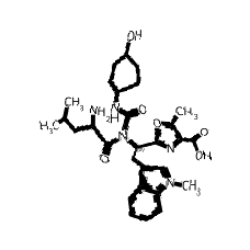 Cc1oc([C@@H](Cc2cn(C)c3ccccc23)N(C(=O)NC2CCC(O)CC2)C(=O)C(N)CC(C)C)nc1C(=O)O